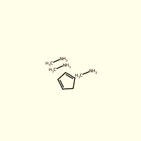 CN.CN.CN.[C]1=CC=CC1